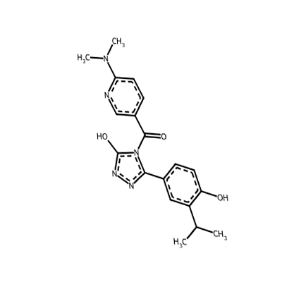 CC(C)c1cc(-c2nnc(O)n2C(=O)c2ccc(N(C)C)nc2)ccc1O